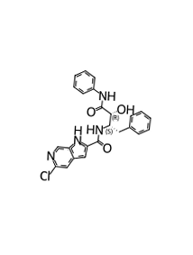 O=C(N[C@@H](Cc1ccccc1)[C@@H](O)C(=O)Nc1ccccc1)c1cc2cc(Cl)ncc2[nH]1